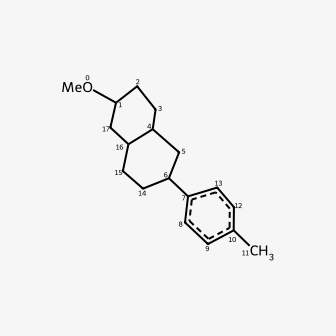 COC1CCC2CC(c3ccc(C)cc3)CCC2C1